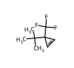 CC(C)(C)C1(C(F)(F)F)C=C1